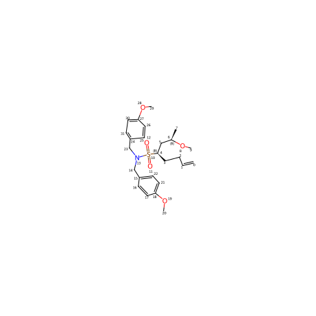 C=CCC[C@H](C[C@@H](C)OC)S(=O)(=O)N(Cc1ccc(OC)cc1)Cc1ccc(OC)cc1